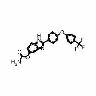 NC(=O)Oc1ccc2[nH]c(-c3ccc(Oc4ccc(C(F)(F)F)cc4)cc3)nc2c1